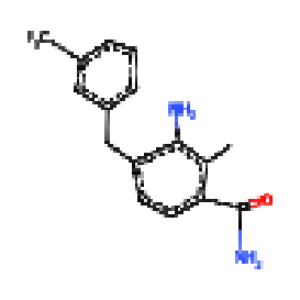 Cc1c(C(N)=O)ccc(Cc2cccc(C(F)(F)F)c2)c1N